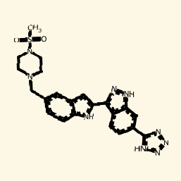 CS(=O)(=O)N1CCN(Cc2ccc3[nH]c(-c4n[nH]c5cc(-c6nnn[nH]6)ccc45)cc3c2)CC1